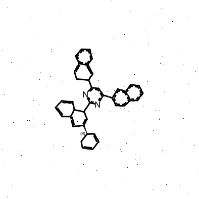 C1=CC[C@@H](C2=CC(c3nc(-c4ccc5ccccc5c4)cc(C4C=c5ccccc5=CC4)n3)C3C=CC=CC3=C2)C=C1